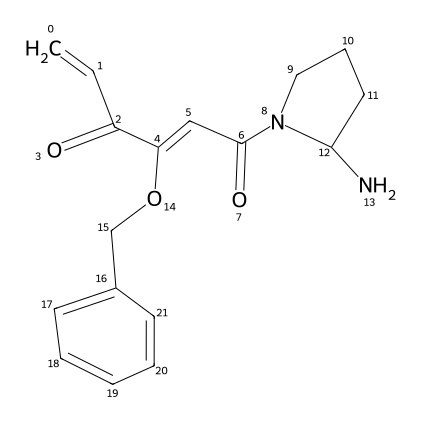 C=CC(=O)/C(=C/C(=O)N1CCCC1N)OCc1ccccc1